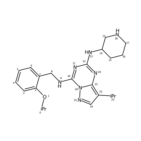 CC(C)Oc1ccccc1CNc1nc(NC2CCCNC2)nc2c(C(C)C)cnn12